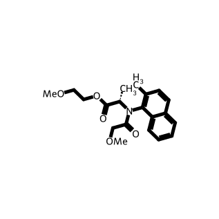 COCCOC(=O)[C@H](C)N(C(=O)COC)c1c(C)ccc2ccccc12